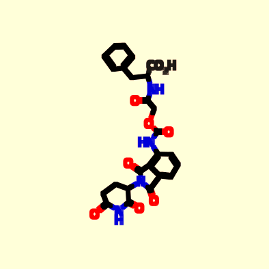 O=C1CCC(N2C(=O)c3cccc(NC(=O)OCC(=O)N[C@@H](Cc4ccccc4)C(=O)O)c3C2=O)C(=O)N1